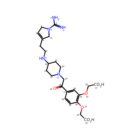 N=C(N)N1CC=C(CCNC2CCN(CC(=O)c3ccc(OCC(=O)O)c(OCC(=O)O)c3)CC2)C1